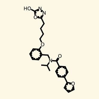 CC(C)N(Cc1ccccc1OCCCCc1nnc(O)o1)C(=O)c1ccc(-c2ccco2)cc1